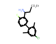 CCOC(=O)C[C@H](N)c1cc(-c2c(C)cc(Cl)cc2C)ccc1F